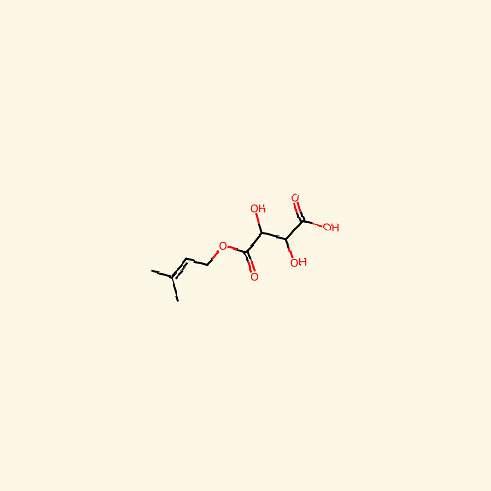 CC(C)=CCOC(=O)C(O)C(O)C(=O)O